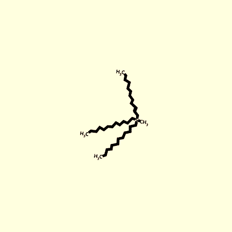 CCCCCCCCC/C=C/C[Si](C)(CCCCCCCCCCCC)CCCCCCCCCCCC